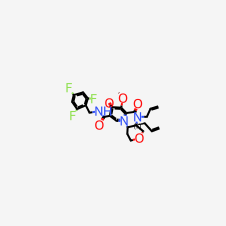 C=CCN1C(=O)c2c(OC)c(=O)c(C(=O)NCc3c(F)cc(F)cc3F)cn2C2CCOC[C@]21CC=C